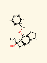 CC1(O)Cc2cc3c(c(OCc4ccccc4)c21)CCC3